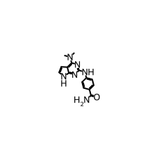 CN(C)c1nc(Nc2ccc(C(N)=O)cc2)nc2[nH]ccc12